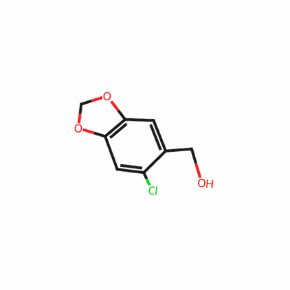 OCc1cc2c(cc1Cl)OCO2